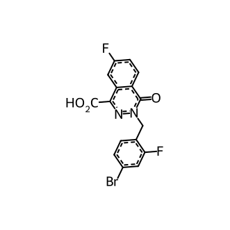 O=C(O)c1nn(Cc2ccc(Br)cc2F)c(=O)c2ccc(F)cc12